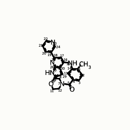 Cc1ccc(C(=O)N2CCOCC2)cc1Nc1cc(-c2cccnc2)nc2[nH]ccc12